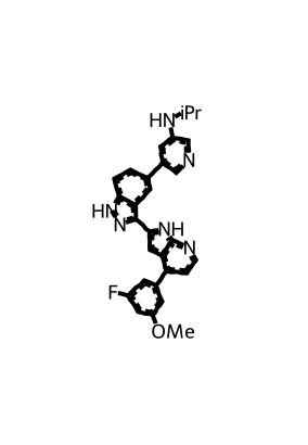 COc1cc(F)cc(-c2ccnc3[nH]c(-c4n[nH]c5ccc(-c6cncc(NC(C)C)c6)cc45)cc23)c1